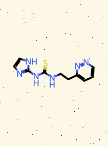 S=C(NCCc1cccnn1)Nc1ncc[nH]1